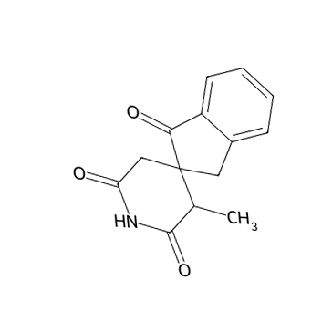 CC1C(=O)NC(=O)CC12Cc1ccccc1C2=O